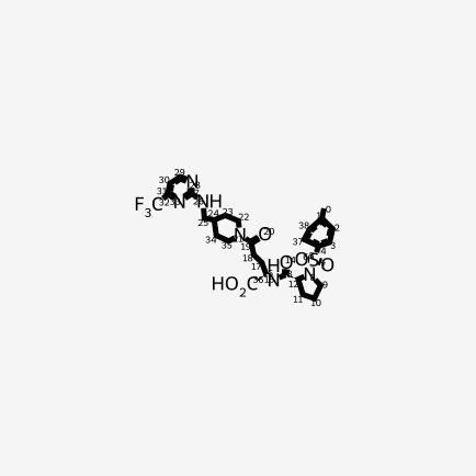 Cc1ccc(S(=O)(=O)N2CCC[C@@H]2C(=O)N[C@@H](CCC(=O)N2CCC(CNc3nccc(C(F)(F)F)n3)CC2)C(=O)O)cc1